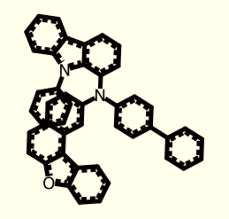 c1ccc(-c2ccc(N(c3ccc4ccc5oc6ccccc6c5c4c3)c3cccc4c5ccccc5n(-c5ccccc5)c34)cc2)cc1